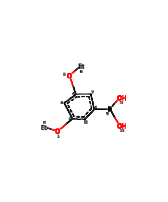 CCOc1cc(OCC)cc(B(O)O)c1